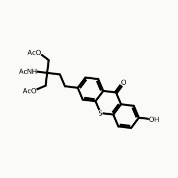 CC(=O)NC(CCc1ccc2c(=O)c3cc(O)ccc3sc2c1)(COC(C)=O)COC(C)=O